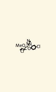 C=CC(C)(Cl)C(OC)C(Oc1ccc(Cl)cc1)n1cncn1